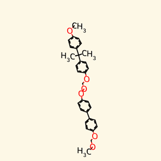 COCOc1ccc(-c2ccc(OOCOc3ccc(C(C)(C)c4ccc(OC)cc4)cc3)cc2)cc1